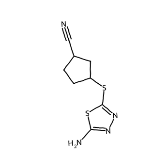 N#CC1CCC(Sc2nnc(N)s2)C1